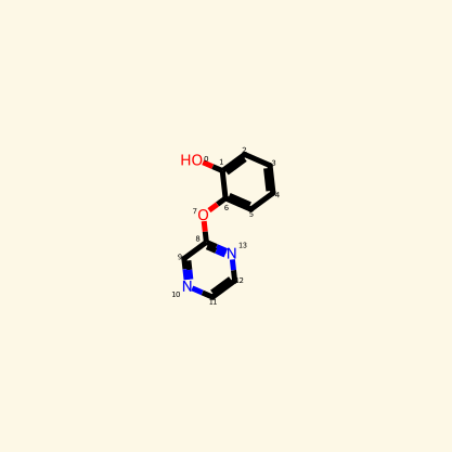 Oc1ccccc1Oc1cnccn1